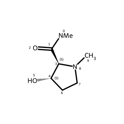 CNC(=O)[C@@H]1[C@@H](O)CCN1C